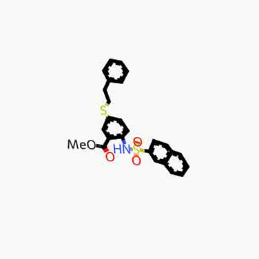 COC(=O)c1cc(SCCc2ccccc2)ccc1NS(=O)(=O)c1ccc2ccccc2c1